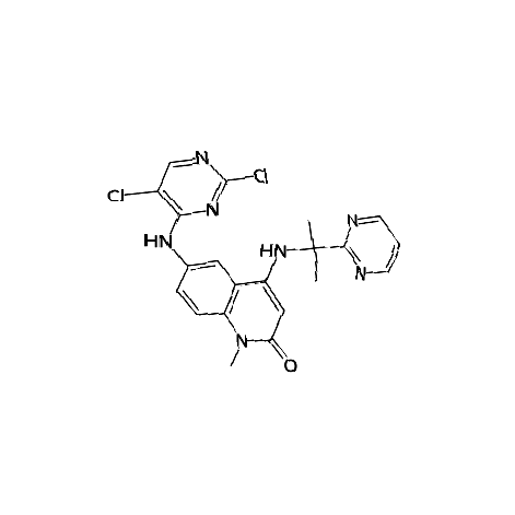 Cn1c(=O)cc(NC(C)(C)c2ncccn2)c2cc(Nc3nc(Cl)ncc3Cl)ccc21